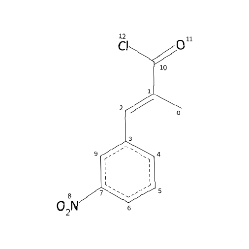 C/C(=C\c1cccc([N+](=O)[O-])c1)C(=O)Cl